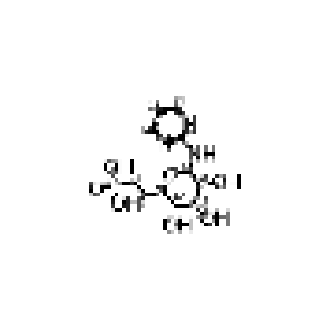 O=P(O)(O)CC[C@H]1OC(Nc2ncccn2)[C@@H](O)[C@@H](O)[C@@H]1O